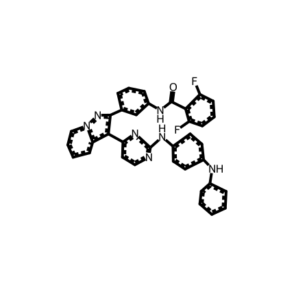 O=C(Nc1cccc(-c2nn3ccccc3c2-c2ccnc(Nc3ccc(Nc4ccccc4)cc3)n2)c1)c1c(F)cccc1F